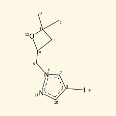 CC1(C)CC(Cn2cc(I)cn2)O1